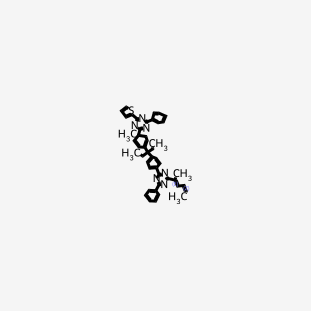 C/C=C\C=C(/C)c1nc(-c2ccccc2)nc(-c2ccc(C(CC)(CC)C3=CCC(C)(c4nc(-c5ccccc5)nc(-c5cccs5)n4)C=C3)cc2)n1